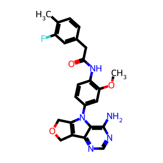 COc1cc(-n2c3c(c4ncnc(N)c42)COC3)ccc1NC(=O)Cc1ccc(C)c(F)c1